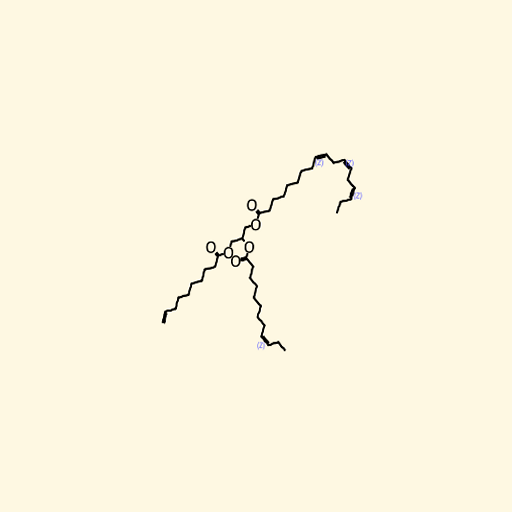 C=CCCCCCCCC(=O)OCC(COC(=O)CCCCCCC/C=C\C/C=C\C/C=C\CC)OC(=O)CCCCCCC/C=C\CC